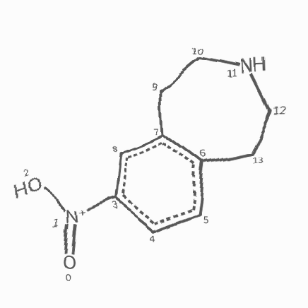 O=[N+](O)c1ccc2c(c1)CCNCC2